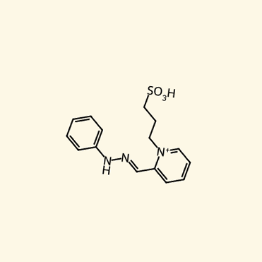 O=S(=O)(O)CCC[n+]1ccccc1C=NNc1ccccc1